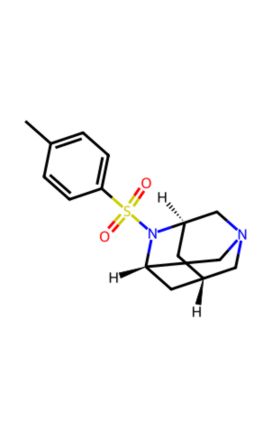 Cc1ccc(S(=O)(=O)N2[C@@H]3C[C@H]4C[C@H]2CN(C4)C3)cc1